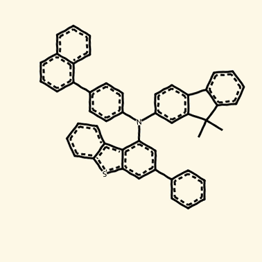 CC1(C)c2ccccc2-c2ccc(N(c3ccc(-c4cccc5ccccc45)cc3)c3cc(-c4ccccc4)cc4sc5ccccc5c34)cc21